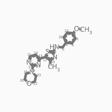 COc1ccc(CNc2nc(C)c(-c3ccnc(N4CCOCC4)n3)s2)cc1